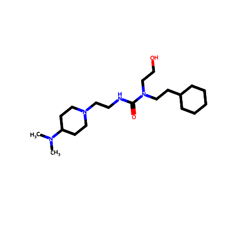 CN(C)C1CCN(CCNC(=O)N(CCO)CCC2CCCCC2)CC1